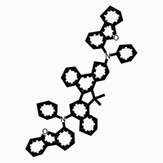 CC1(C)c2c(cc(N(c3ccccc3)c3cccc4c3oc3ccccc34)c3ccccc23)-c2c1c1ccc(N(c3ccccc3)c3cccc4c3oc3ccccc34)cc1c1ccccc21